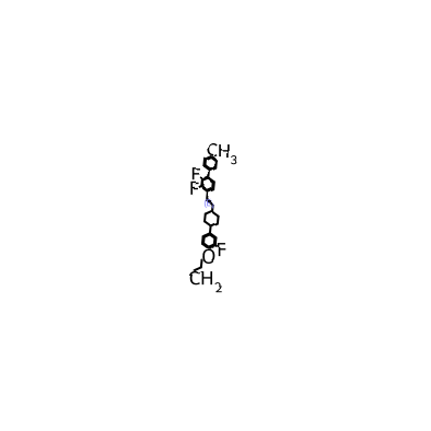 C=CCCOc1ccc(C2CCC(/C=C/c3ccc(-c4ccc(C)cc4)c(F)c3F)CC2)cc1F